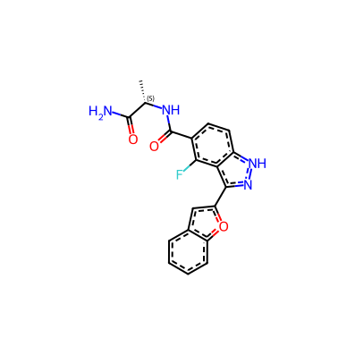 C[C@H](NC(=O)c1ccc2[nH]nc(-c3cc4ccccc4o3)c2c1F)C(N)=O